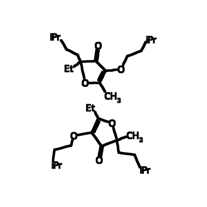 CCC1(CCC(C)C)OC(C)=C(OCCC(C)C)C1=O.CCC1=C(OCCC(C)C)C(=O)C(C)(CCC(C)C)O1